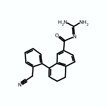 N#CCc1ccccc1C1=CCCc2ccc(C(=O)N=C(N)N)cc21